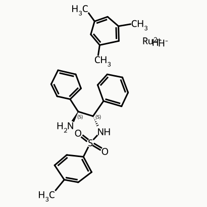 Cc1cc(C)cc(C)c1.Cc1ccc(S(=O)(=O)N[C@@H](c2ccccc2)[C@@H](N)c2ccccc2)cc1.[H-].[H-].[Ru+2]